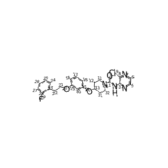 O=C(Nc1nccnc1Cl)N1CCC(Oc2cccc(OCCc3ccccc3F)c2)CC1